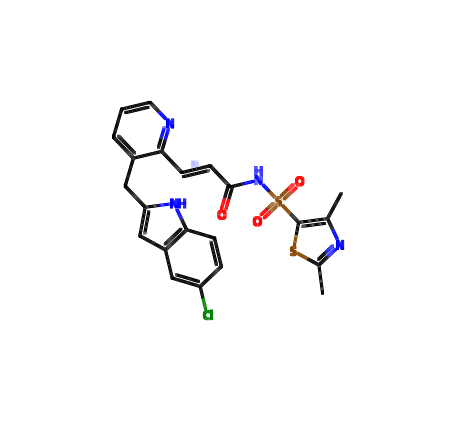 Cc1nc(C)c(S(=O)(=O)NC(=O)/C=C/c2ncccc2Cc2cc3cc(Cl)ccc3[nH]2)s1